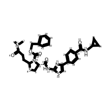 CN(C)C(=O)CCC1SC[C@@H](C(=O)Nc2nc(-c3ccc(C(=O)NC4CC4)cc3)cs2)N1C(=O)OCc1ccccc1